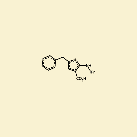 CC(C)Nc1sc(Cc2ccccc2)cc1C(=O)O